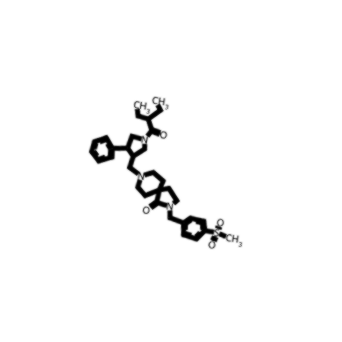 CCC(CC)C(=O)N1CC(CN2CCC3(CC2)CCN(Cc2ccc(S(C)(=O)=O)cc2)C3=O)C(c2ccccc2)C1